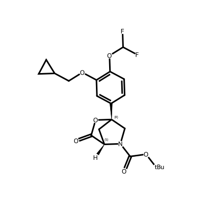 CC(C)(C)OC(=O)N1C[C@]2(c3ccc(OC(F)F)c(OCC4CC4)c3)C[C@H]1C(=O)O2